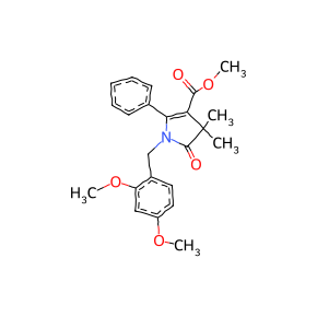 COC(=O)C1=C(c2ccccc2)N(Cc2ccc(OC)cc2OC)C(=O)C1(C)C